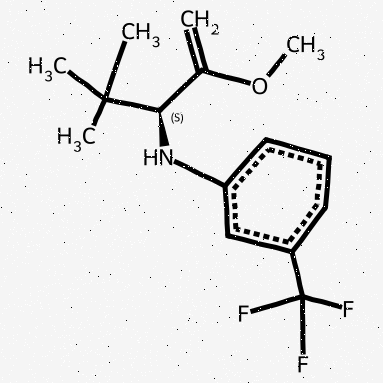 C=C(OC)[C@@H](Nc1cccc(C(F)(F)F)c1)C(C)(C)C